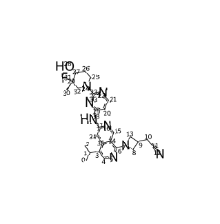 CC(C)c1cnc(N2CC(CC#N)C2)c2cnc(Nc3ccnc(N4CC[C@@H](O)[C@@](C)(F)C4)n3)cc12